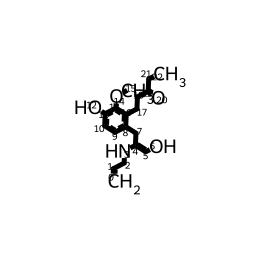 C=CCN/C(=C/O)Cc1ccc(O)c(OC)c1CCC(=O)CC